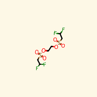 O=S(=O)(CC(F)F)OCCOS(=O)(=O)CC(F)F